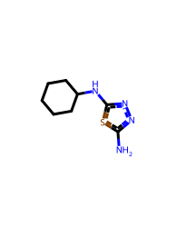 Nc1nnc(NC2CCCCC2)s1